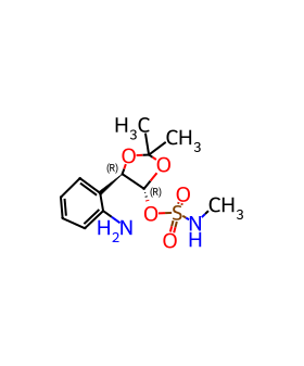 CNS(=O)(=O)O[C@H]1OC(C)(C)O[C@@H]1c1ccccc1N